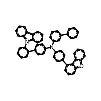 c1ccc(-c2cccc(N(c3ccc(-c4ccccc4-n4c5ccccc5c5ccccc54)cc3)c3ccc(-c4cccc5oc6ccccc6c45)cc3)c2)cc1